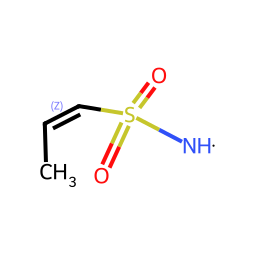 C/C=C\S([NH])(=O)=O